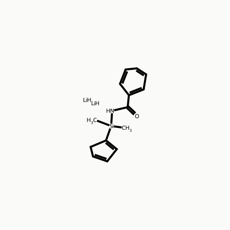 C[Si](C)(NC(=O)c1ccccc1)C1=CC=CC1.[LiH].[LiH]